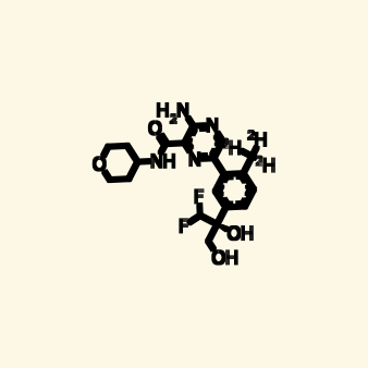 [2H]C([2H])([2H])c1ccc([C@](O)(CO)C(F)F)cc1-c1cnc(N)c(C(=O)NC2CCOCC2)n1